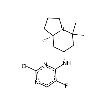 CC1(C)C[C@H](Nc2nc(Cl)ncc2F)C[C@@]2(C)CCCN12